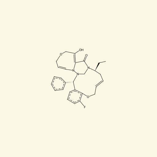 CC[C@H]1C/C=C/COc2c(F)cccc2[C@H](c2ccccc2)N2CN1C(=O)/C1=C(\O)COC/C=C\N12